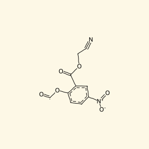 N#CCOC(=O)c1cc([N+](=O)[O-])ccc1O[C]=O